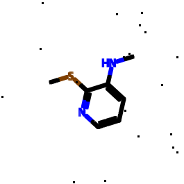 CNc1cccnc1SC